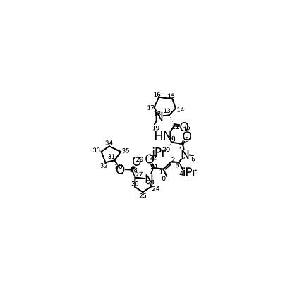 C/C(=C\[C@H](C(C)C)N(C)C(=O)[C@@H](NC(=O)[C@H]1CCCCN1C)C(C)C)C(=O)N1CCC[C@H]1C(=O)OC1CCCC1